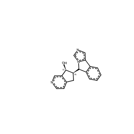 O[C@@H]1c2cnccc2C[C@@H]1C1c2ccccc2-c2cncn21